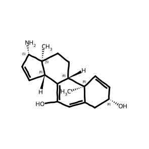 C[C@]12CC[C@H]3C(=C(O)C=C4C[C@@H](O)C=C[C@@]43C)[C@@H]1C=C[C@@H]2N